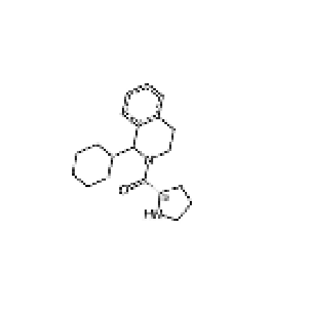 O=C([C@@H]1CCCN1)N1CCc2ccccc2C1C1CCCCC1